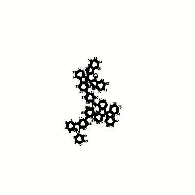 c1ccc(-n2c3ccccc3c3cc(-c4ccc(N(c5ccc(-c6ccc7c(c6)C6(c8ccccc8-7)c7ccc8ccccc8c7Oc7c6ccc6ccccc76)cc5)c5cccc6c5-c5ccccc5C6(c5ccccc5)c5ccccc5)cc4)ccc32)cc1